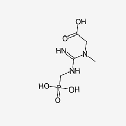 CN(CC(=O)O)C(=N)NCP(=O)(O)O